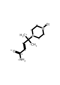 CCN1CCN(C(C)(C)C=CC(N)=O)CC1